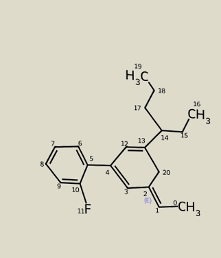 C/C=C1/C=C(c2ccccc2F)C=C(C(CC)CCC)C1